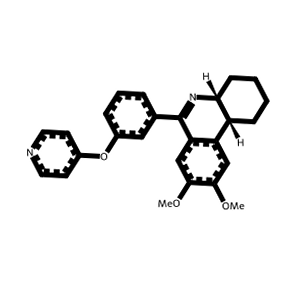 COc1cc2c(cc1OC)[C@H]1CCCC[C@H]1N=C2c1cccc(Oc2ccncc2)c1